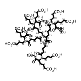 CC(C)(C)NC(=O)C(CCCC(=O)O)N(CCCC(=O)O)C(=O)CCCNC(=O)C(CCCC(=O)N(CCCC(=O)O)C(CCCC(=O)O)C(=O)NC(C)(C)C)N(CCCC(=O)N(CCCC(=O)O)C(CCCC(=O)O)C(=O)NC(C)(C)C)C(=O)CCCC(=O)N(CCCC(=O)O)C(CCCC(=O)O)C(=O)NC(C)(C)C